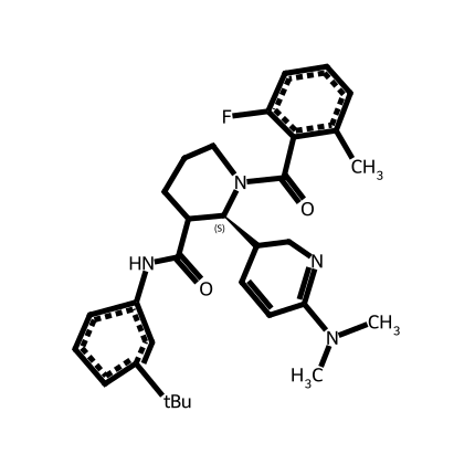 Cc1cccc(F)c1C(=O)N1CCCC(C(=O)Nc2cccc(C(C)(C)C)c2)[C@@H]1C1C=CC(N(C)C)=NC1